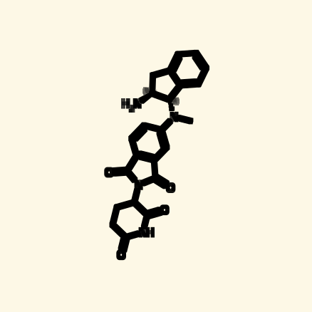 CN(c1ccc2c(c1)C(=O)N(C1CCC(=O)NC1=O)C2=O)[C@H]1c2ccccc2C[C@@H]1N